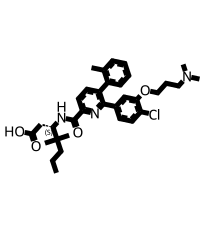 CCCC(C)(C)[C@H](CC(=O)O)NC(=O)c1ccc(-c2ccccc2C)c(-c2ccc(Cl)c(OCCCN(C)C)c2)n1